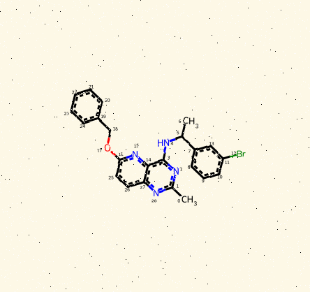 Cc1nc(NC(C)c2cccc(Br)c2)c2nc(OCc3ccccc3)ccc2n1